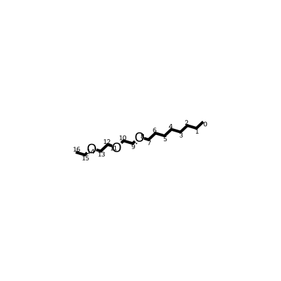 CCCCCCCCO[CH]COCCOCC